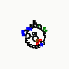 C[C@H]1Nc2cnnc3c(cc(C4(C#N)CCS(=O)(=O)CC4)cc23)CCCCCCN2CC(CCC(F)(F)c3cccc1c3F)C2